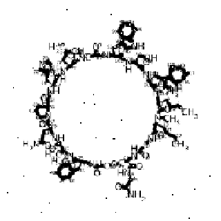 CCCC[C@H]1C(=O)N(C)[C@@H](CCCC)C(=O)NCC(=O)N[C@H](C(=O)NCC(N)=O)CSCC(=O)N[C@@H](Cc2ccccc2)C(=O)N(C)[C@@H](C)C(=O)N[C@@H](CC(N)=O)C(=O)N2CCC[C@H]2C(=O)N[C@@H](Cc2cnc[nH]2)C(=O)N[C@@H](CC(C)C)C(=O)N(C)CC(=O)N[C@@H](Cc2c[nH]c3ccccc23)C(=O)N[C@@H](CO)C(=O)N[C@@H](Cc2c[nH]c3ccccc23)C(=O)N1C